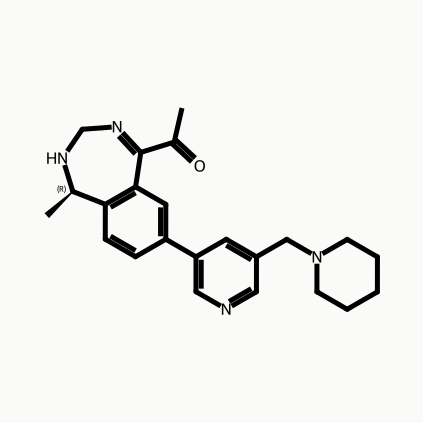 CC(=O)C1=NCN[C@H](C)c2ccc(-c3cncc(CN4CCCCC4)c3)cc21